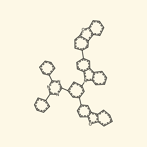 c1ccc(-c2nc(-c3ccccc3)nc(-c3cc(-c4ccc5oc6ccccc6c5c4)cc(-n4c5ccccc5c5cc(-c6ccc7oc8ccccc8c7c6)ccc54)c3)n2)cc1